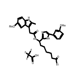 CCC(=O)CCCCCC(NC(=O)Cc1c(C)[nH]c2ccc(OC)cc12)c1ncc(-c2cccc(OC)c2)[nH]1.O=C(O)C(F)(F)F